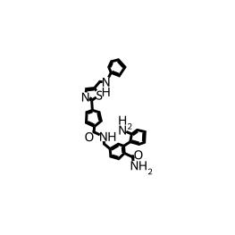 NC(=O)c1ccc(CNC(=O)c2ccc(-c3ncc(CNc4ccccc4)s3)cc2)cc1-c1ccccc1N